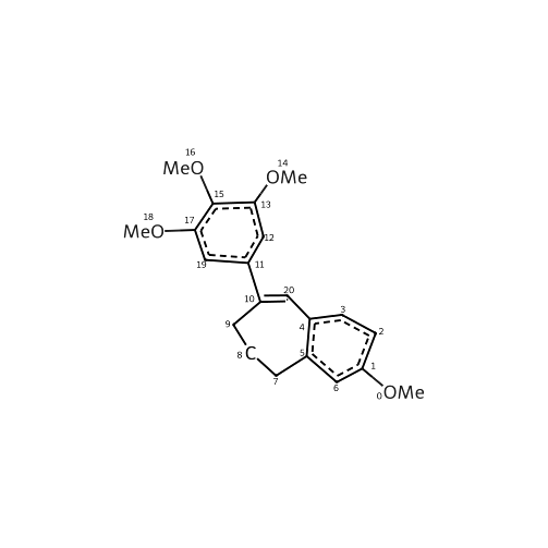 COc1ccc2c(c1)CCCC(c1cc(OC)c(OC)c(OC)c1)=[C]2